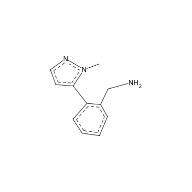 Cn1nccc1-c1ccccc1CN